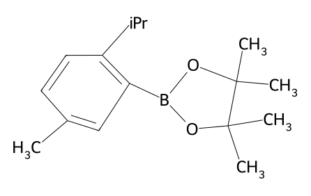 Cc1ccc(C(C)C)c(B2OC(C)(C)C(C)(C)O2)c1